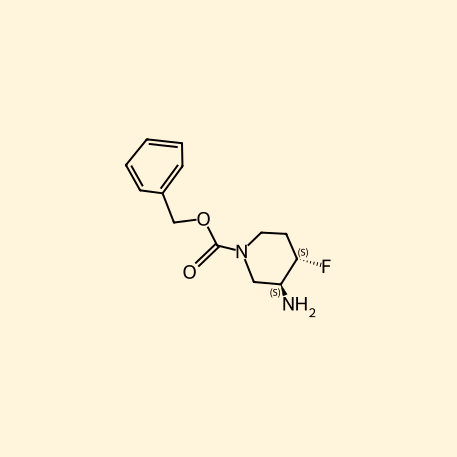 N[C@H]1CN(C(=O)OCc2ccccc2)CC[C@@H]1F